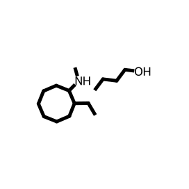 CCC1CCCCCCC1NC.CCCCO